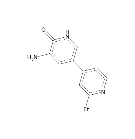 CCc1cc(-c2c[nH]c(=O)c(N)c2)ccn1